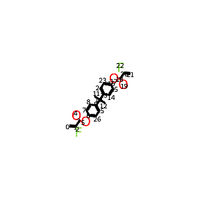 C=C(F)C(=O)Oc1ccc(C(C)(C)c2ccc(OC(=O)C(=C)F)cc2)cc1